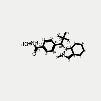 CN1C=C2CCCCC2N1C(c1ccc(C(=O)NO)cc1)C(C)(C)C